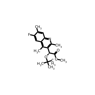 COC(=O)[C@@H](OC(C)(C)C)c1c(C)nc2cc(C)c(F)cc2c1C